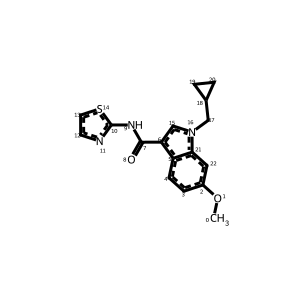 COc1ccc2c(C(=O)Nc3nccs3)cn(CC3CC3)c2c1